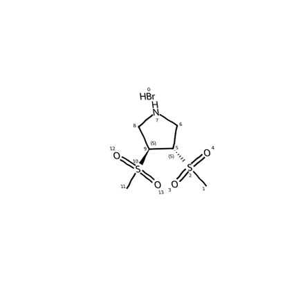 Br.CS(=O)(=O)[C@H]1CNC[C@@H]1S(C)(=O)=O